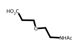 CC(=O)NCCOCCC(=O)O